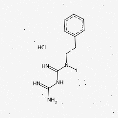 Cl.N=C(N)NC(=N)N(I)CCc1ccccc1